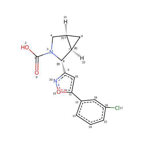 O=C(O)N1C[C@H]2C[C@H]2[C@@H]1c1cc(-c2cccc(Cl)c2)on1